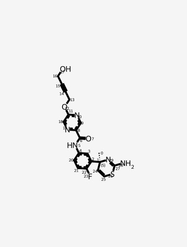 C[C@@]1(c2cc(NC(=O)c3cnc(OCC#CCO)cn3)ccc2F)C=CSC(N)=N1